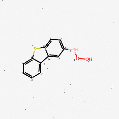 OOBc1ccc2sc3ccccc3c2c1